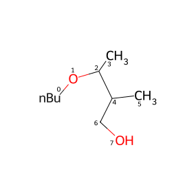 CCCCOC(C)C(C)CO